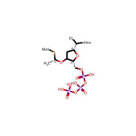 CCCCCCC(CC)[C@H]1CC(O[C@H](C)SSC)[C@@H](COP(=O)(O)OP(=O)(O)OP(=O)(O)O)O1